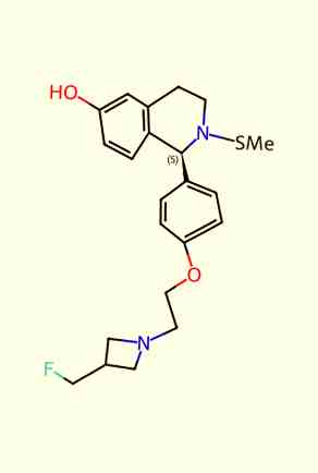 CSN1CCc2cc(O)ccc2[C@@H]1c1ccc(OCCN2CC(CF)C2)cc1